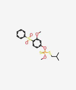 COc1cc(OP(=S)(OC)SCC(C)C)ccc1S(=O)(=O)c1ccccc1